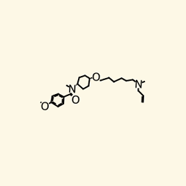 C=CCN(C)CCCCCCO[C@H]1CC[C@H](N(C)C(=O)c2ccc(OC)cc2)CC1